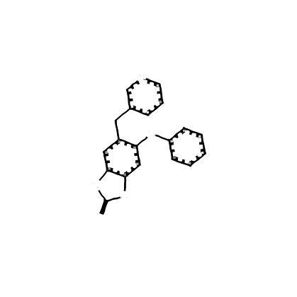 O=C1[N]c2cc(Nc3ccccc3)c(Cc3cccnc3)cc2N1